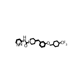 O=C(Nc1cccnn1)N1CCC(=Cc2cccc(OCC3CCC(C(F)(F)F)CC3)c2)CC1